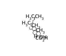 CC(C)=CCC[C@@H](C)[C@H]1CCC2C3=C(CC[C@@]21C)[C@@]1(C)CC[C@H](O)[C@@H](C(=O)O)[C@@H]1CC3